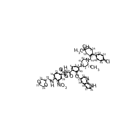 C[C@@H]1CN(c2ccc(C(=O)NS(=O)(=O)c3ccc(NC[C@H]4COCCO4)c([N+](=O)[O-])c3)c(Oc3cnc4[nH]ccc4c3)c2)CCN1CC1=C(c2ccc(Cl)cc2)CCC(C)(C)C1